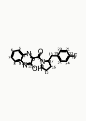 O=C(c1nc2ccccc2nc1O)N1CCCC1Cc1ccc(F)cc1